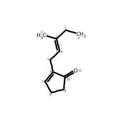 CC/C(C)=C/CC1=CCCC1=O